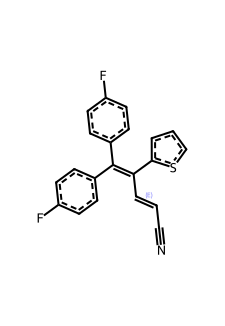 N#C/C=C/C(=C(c1ccc(F)cc1)c1ccc(F)cc1)c1cccs1